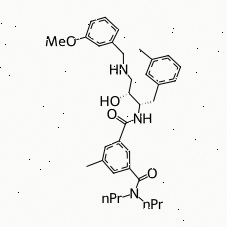 CCCN(CCC)C(=O)c1cc(C)cc(C(=O)N[C@@H](Cc2cccc(C)c2)[C@H](O)CNCc2cccc(OC)c2)c1